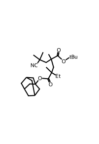 CCC(C)(CC(C)(CC(C)(C)C#N)C(=O)OC(C)(C)C)C(=O)OC12CC3CC(CC(C3)C1)C2